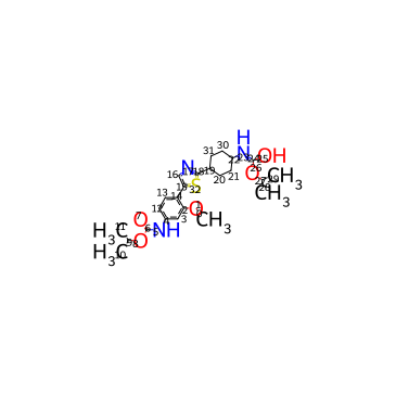 COc1cc(NC(=O)OC(C)C)ccc1-c1cnc(C2CCC(NC(O)OC(C)C)CC2)s1